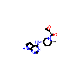 C[C@H]1CC[C@@H](Nc2ncnc3[nH]ccc23)CN1C(=O)[C@H]1CO1